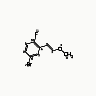 CO/C=C/c1cc(Br)ccc1F